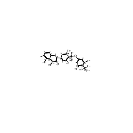 Cc1ccc2cc(-c3cc(F)c(C(F)(F)Oc4cc(F)c(C(F)(F)F)c(F)c4)c(F)c3)c(F)c(F)c2c1F